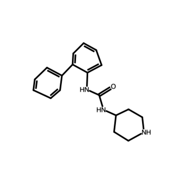 O=C(Nc1ccccc1-c1ccccc1)NC1CCNCC1